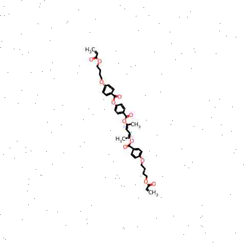 C=CC(=O)OCCCCOc1ccc(C(=O)O/C(C)=C/C=C(\C)OC(=O)c2ccc(OC(=O)c3ccc(OCCCCOC(=O)C=C)cc3)cc2)cc1